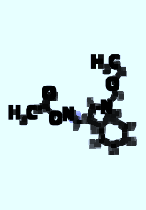 CCOCn1cc(/C=N/OC(C)=O)c2ccccc21